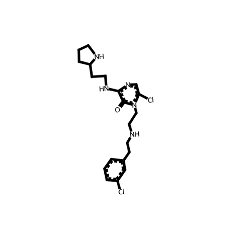 O=c1c(NCCC2CCCN2)ncc(Cl)n1CCNCCc1cccc(Cl)c1